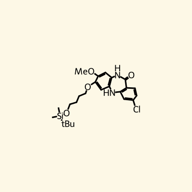 COc1cc2c(cc1OCCCCO[Si](C)(C)C(C)(C)C)Nc1cc(Cl)ccc1C(=O)N2